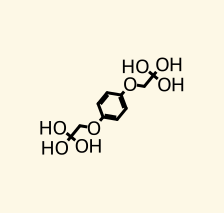 OC(O)(O)COc1ccc(OCC(O)(O)O)cc1